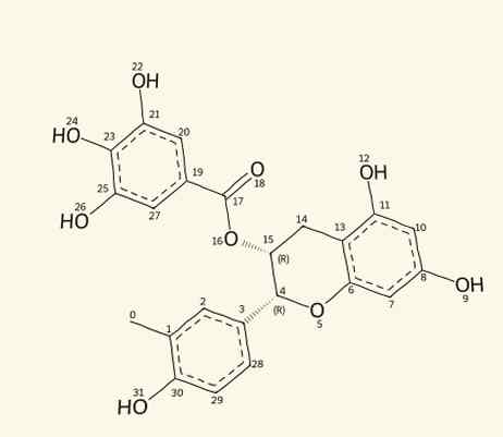 Cc1cc([C@H]2Oc3cc(O)cc(O)c3C[C@H]2OC(=O)c2cc(O)c(O)c(O)c2)ccc1O